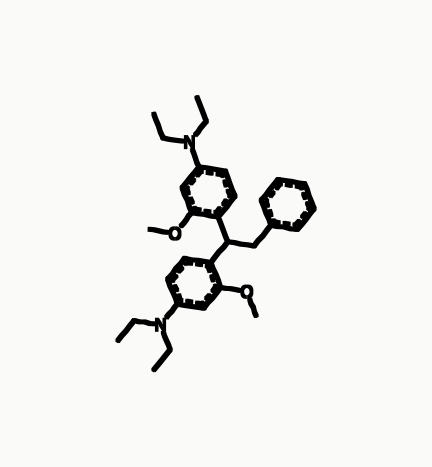 CCN(CC)c1ccc(C(Cc2ccccc2)c2ccc(N(CC)CC)cc2OC)c(OC)c1